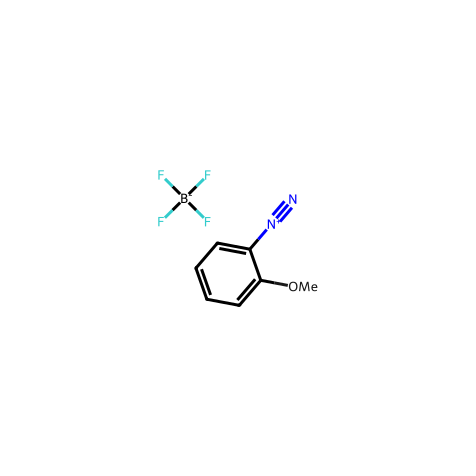 COc1ccccc1[N+]#N.F[B-](F)(F)F